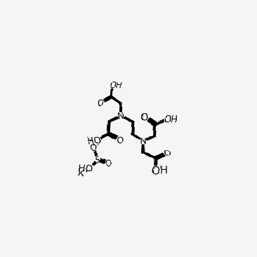 O=C(O)CN(CCN(CC(=O)O)CC(=O)O)CC(=O)O.O=S([O-])O.[K+]